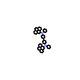 C1=CC2=CC=C3CC=CC4=C3C2C(=C1)C=C4N(c1ccccc1)c1ccc(-c2ccc(N(c3ccccc3)c3cc4c5c(ccc6c5c3CC=C6)CC=C4)cc2)cc1